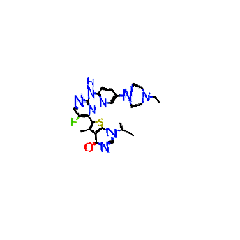 CCN1CCN(c2ccc(Nc3ncc(F)c(-c4sc5c(c4C)c(=O)ncn5C(C)C)n3)nc2)CC1